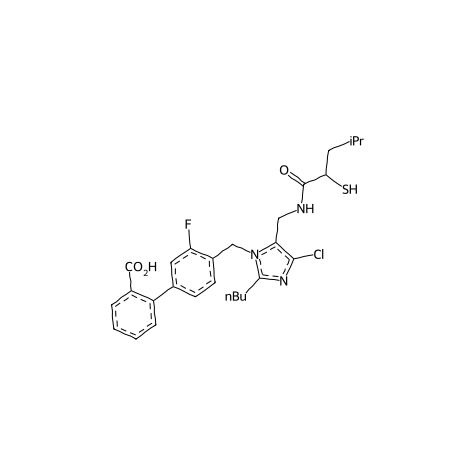 CCCCc1nc(Cl)c(CNC(=O)C(S)CC(C)C)n1Cc1ccc(-c2ccccc2C(=O)O)cc1F